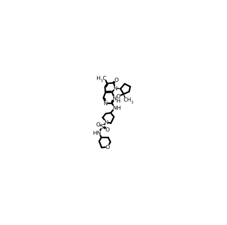 Cc1cc2cnc(NC3CCN(S(=O)(=O)NC4CCOCC4)CC3)nc2n([C@H]2CCC[C@]2(C)O)c1=O